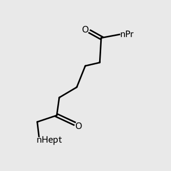 CCCCCCCCC(=O)CCCCC(=O)CCC